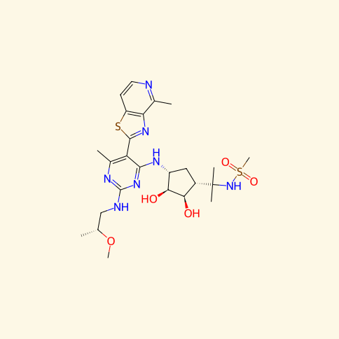 CO[C@H](C)CNc1nc(C)c(-c2nc3c(C)nccc3s2)c(N[C@@H]2C[C@H](C(C)(C)NS(C)(=O)=O)[C@@H](O)[C@H]2O)n1